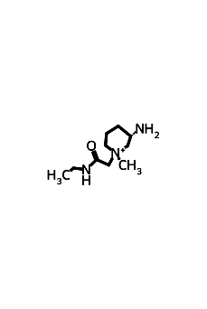 CCNC(=O)C[N+]1(C)CCC[C@H](N)C1